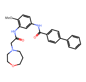 COc1ccc(NC(=O)c2ccc(-c3ccccc3)cc2)cc1NC(=O)CN1CCCOCC1